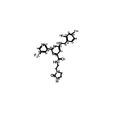 O=C(NCCN1CCNC1=O)c1cc(NCc2ccc(F)cc2F)nc(-c2cncc(C(F)(F)F)c2)n1